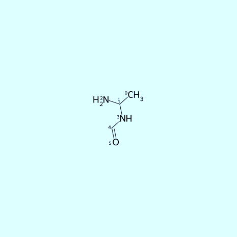 C[C](N)NC=O